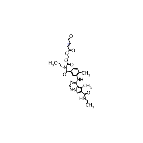 CCCN(C(=O)OCOC(=O)/C=C/C=O)C(=O)c1ccc(C)c(Nc2ncnn3cc(C(=O)NCC)c(C)c23)c1